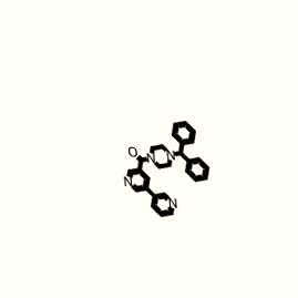 O=C(c1cncc(-c2cccnc2)c1)N1CCN(C(c2ccccc2)c2ccccc2)CC1